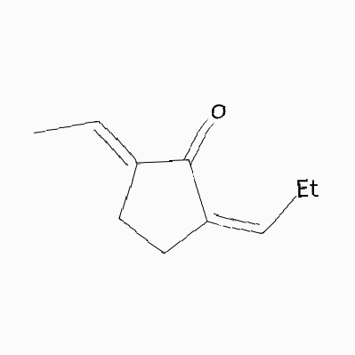 C/C=C1\CC/C(=C/CC)C1=O